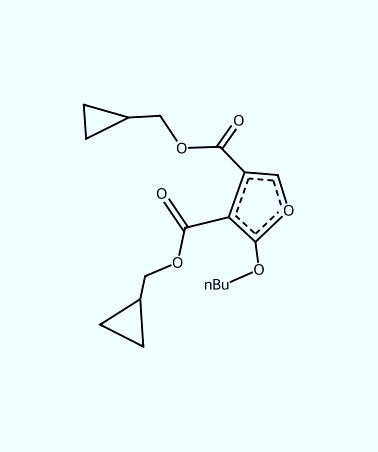 CCCCOc1occ(C(=O)OCC2CC2)c1C(=O)OCC1CC1